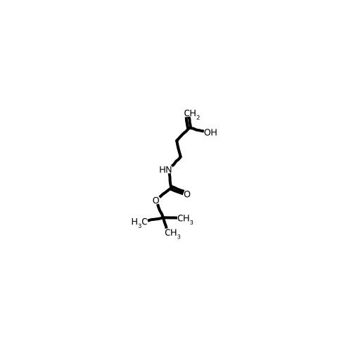 C=C(O)CCNC(=O)OC(C)(C)C